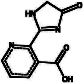 O=C1CNC(c2ncccc2C(=O)O)=N1